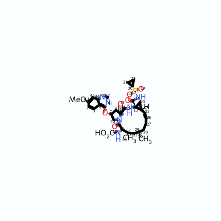 COc1ccc2c(O[C@@H]3C[C@H]4C(=O)N[C@]5(C(=O)NS(=O)(=O)C6CC6)C[C@H]5C=CCC[C@@H](C)C[C@@H](C)[C@H](NC(=O)O)C(=O)N4C3)ncnc2c1